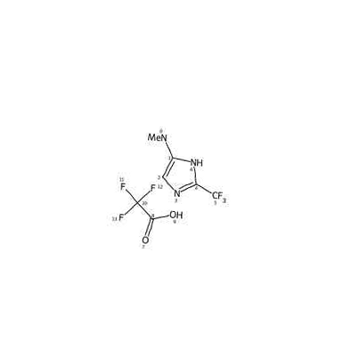 CNc1cnc(C(F)(F)F)[nH]1.O=C(O)C(F)(F)F